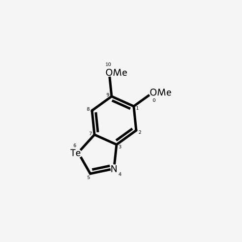 COc1cc2nc[te]c2cc1OC